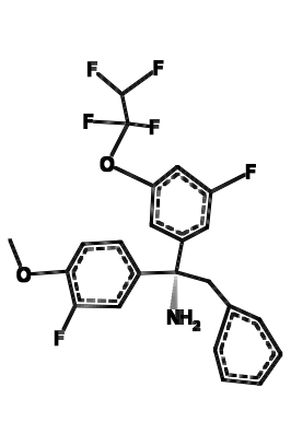 COc1ccc([C@](N)(Cc2ccccc2)c2cc(F)cc(OC(F)(F)C(F)F)c2)cc1F